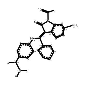 CC(=O)N1C(=O)/C(=C(\Nc2ccc([C@H](C)N(C)C)cc2)c2ccccc2)c2ccc(N)cc21